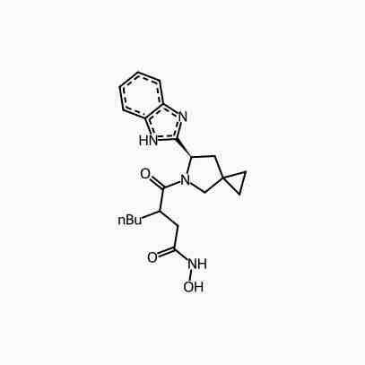 CCCCC(CC(=O)NO)C(=O)N1CC2(CC2)C[C@@H]1c1nc2ccccc2[nH]1